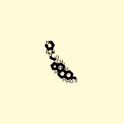 C[C@]12CC[C@H]3[C@@H](CC[C@@H]4C[C@@](O)(CF)CC[C@@H]43)[C@@H]1CC[C@@H]2C(=O)Cn1nc2ccncc2n1